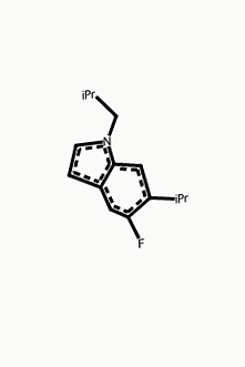 CC(C)Cn1ccc2cc(F)c(C(C)C)cc21